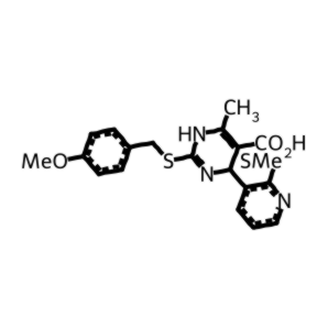 COc1ccc(CSC2=NC(c3cccnc3SC)C(C(=O)O)=C(C)N2)cc1